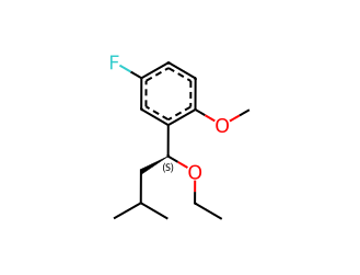 CCO[C@@H](CC(C)C)c1cc(F)ccc1OC